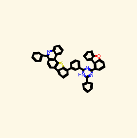 c1ccc(C2=NC(c3cccc4oc5ccccc5c34)=NC(c3cccc(-c4cccc5c4sc4c5ccc5c(-c6ccccc6)nc6ccccc6c54)c3)N2)cc1